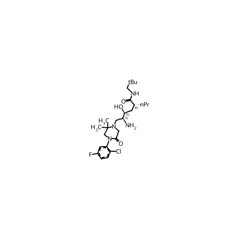 CCC[C@H](C[C@H](O)[C@@H](N)CN1CC(=O)N(c2cc(F)ccc2Cl)CC1(C)C)C(=O)NCC(C)(C)C